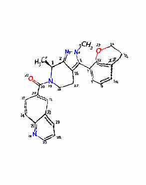 C[C@H]1c2nn(C)c(-c3cccc4c3OCC4)c2CCN1C(=O)c1ccc2ncccc2c1